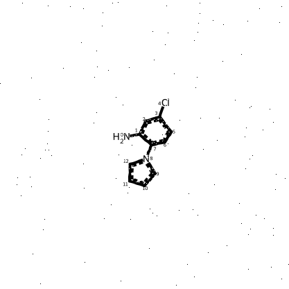 Nc1cc(Cl)ccc1-n1cccc1